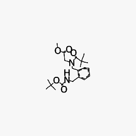 COC(=O)CN(Cc1ccccc1CNC(=O)OC(C)(C)C)C(=O)C(C)(C)C